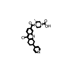 C[C@@H]1CN(C(=O)O)CCN1C(=O)c1ccc2c(Cl)c3c(nc2c1)CC(c1ccncc1)CC3